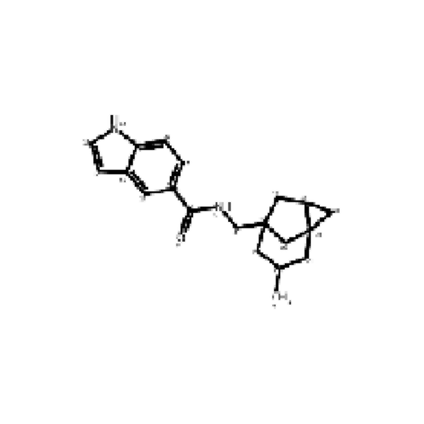 CC1CC2(CNC(=O)c3ccc4[nH]ccc4c3)CC3CC3(C1)C2